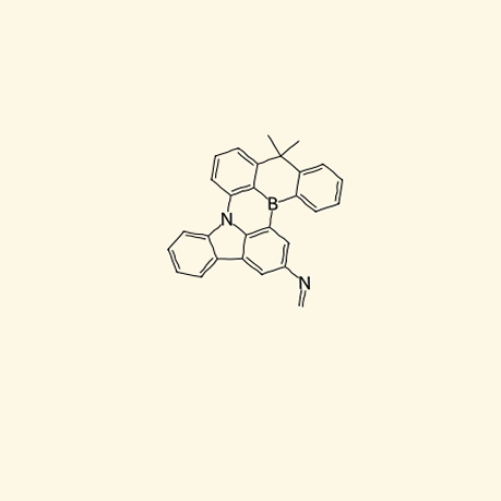 C=Nc1cc2c3c(c1)c1ccccc1n3-c1cccc3c1B2c1ccccc1C3(C)C